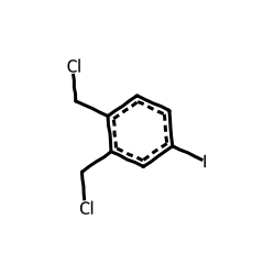 ClCc1ccc(I)cc1CCl